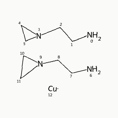 NCCN1CC1.NCCN1CC1.[Cu]